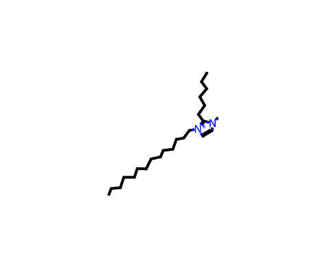 CCCCCCCCCCCCCC[n+]1ccn(C)c1CCCCCC